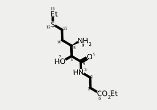 CCOC(=O)CCNC(=O)C(O)[C@H](N)CCSCC